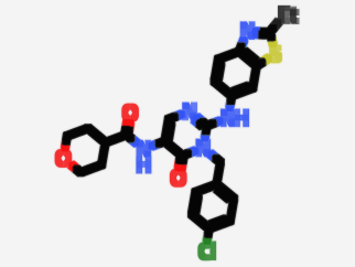 CCc1nc2ccc(Nc3ncc(NC(=O)C4CCOCC4)c(=O)n3Cc3ccc(Cl)cc3)cc2s1